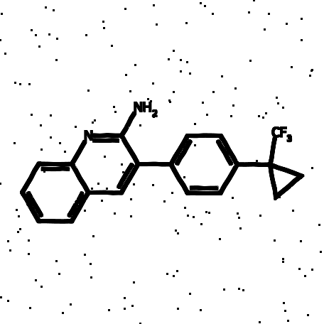 Nc1nc2ccccc2cc1-c1ccc(C2(C(F)(F)F)CC2)cc1